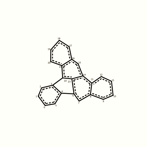 c1ccc2c(c1)-c1cc3ccccc3c3cc4ccccc4c-2c13